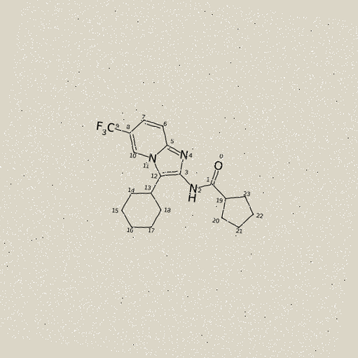 O=C(Nc1nc2ccc(C(F)(F)F)cn2c1C1CCCCC1)C1CCCC1